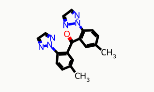 Cc1ccc(-n2nccn2)c(C(=O)c2cc(C)ccc2-n2nccn2)c1